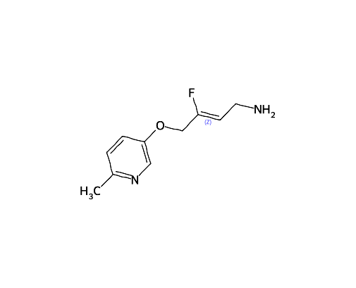 Cc1ccc(OC/C(F)=C/CN)cn1